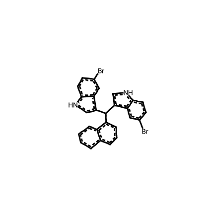 Brc1ccc2[nH]cc(C(c3cccc4ccccc34)c3c[nH]c4ccc(Br)cc34)c2c1